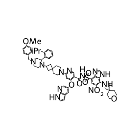 COc1ccc(CN2CCN(C3CC4(CCN(c5cc(Oc6cnc7[nH]ccc7c6)c(C(=O)NS(=O)(=O)c6cc([N+](=O)[O-])c(NCC7(F)CCOCC7)c7[nH]cnc67)cn5)CC4)C3)C(c3ccccc3C(C)C)C2)cc1